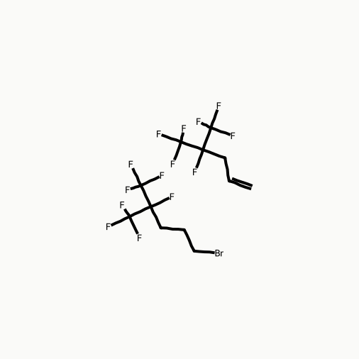 C=CCC(F)(C(F)(F)F)C(F)(F)F.FC(F)(F)C(F)(CCCBr)C(F)(F)F